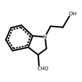 O=CC1CN(CCO)c2ccccc21